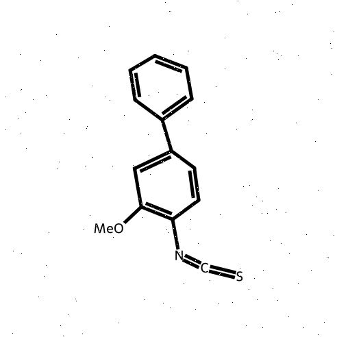 COc1cc(-c2ccccc2)ccc1N=C=S